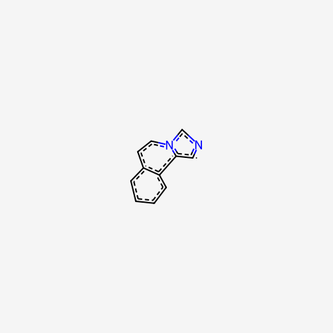 [c]1ncn2ccc3ccccc3c12